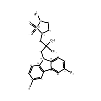 CC(C)N1CCN(CC(C)(O)Cn2c3ccc(F)cc3c3cc(F)ccc32)S1(=O)=O